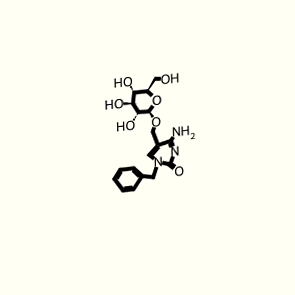 Nc1nc(=O)n(Cc2ccccc2)cc1CO[C@@H]1O[C@H](CO)[C@@H](O)[C@H](O)[C@H]1O